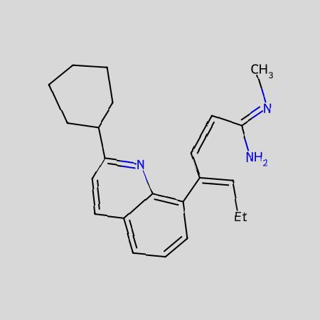 CC/C=C(/C=C\C(N)=N/C)c1cccc2ccc(C3CCCCC3)nc12